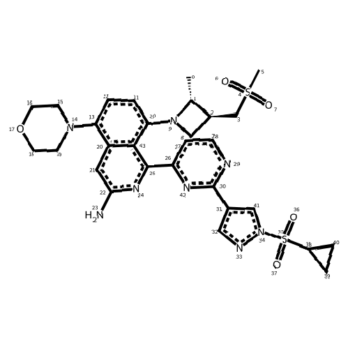 C[C@@H]1[C@@H](CS(C)(=O)=O)CN1c1ccc(N2CCOCC2)c2cc(N)nc(-c3ccnc(-c4cnn(S(=O)(=O)C5CC5)c4)n3)c12